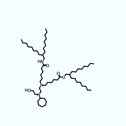 CCCCCCCCC(CCCCCCCC)CNC(=O)CCCCCN(CCCCCC(=O)OCC(CCCCCCCC)CCCCCCCC)CCN(CCO)C1CCCCCC1